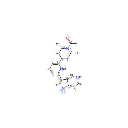 CC(=O)N1[C@H](C)CC(c2cccc(-c3c[nH]c4ncncc34)n2)C[C@@H]1C